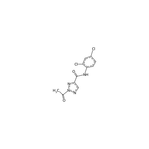 CC(=O)n1ncc(C(=O)Nc2ccc(Cl)cc2Cl)n1